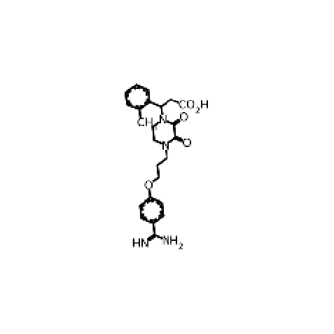 Cc1ccccc1C(CC(=O)O)N1CCN(CCCOc2ccc(C(=N)N)cc2)C(=O)C1=O